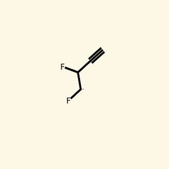 C#CC(F)[CH]F